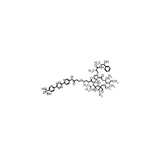 CC[C@H](C)[C@@H]([C@@H](CC(=O)N1CCC[C@H]1C[C@@H](C)C(=O)N[C@H](C)[C@@H](O)c1ccccc1)OC)N(C)CC(C=O)(NC(=O)[C@H](C(C)C)N(C)C(=O)CCSSCCC(=O)Nc1ccc(-c2nnc(-c3ccc(P(=O)(O)O)cn3)nn2)nc1)C(C)C